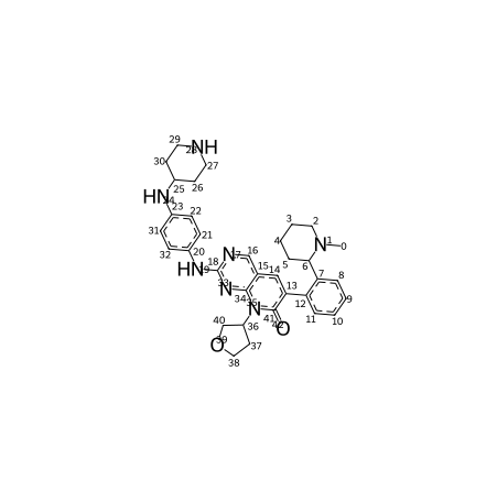 CN1CCCCC1c1ccccc1-c1cc2cnc(Nc3ccc(NC4CCNCC4)cc3)nc2n(C2CCOC2)c1=O